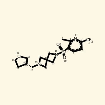 Cc1nc(C(F)(F)F)ccc1S(=O)(=O)N1CC2(CN(C[C@@H]3CCOC3)C2)C1